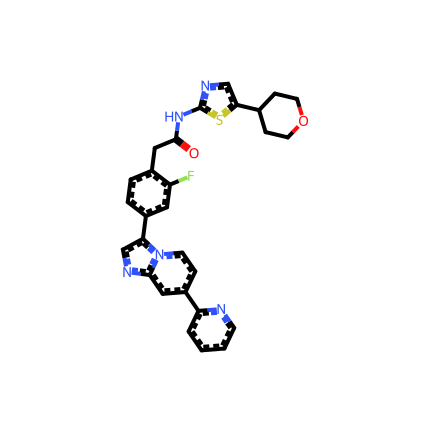 O=C(Cc1ccc(-c2cnc3cc(-c4ccccn4)ccn23)cc1F)Nc1ncc(C2CCOCC2)s1